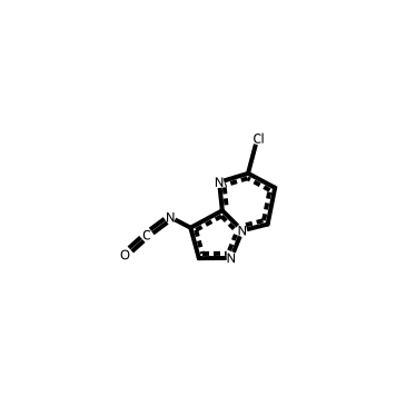 O=C=Nc1cnn2ccc(Cl)nc12